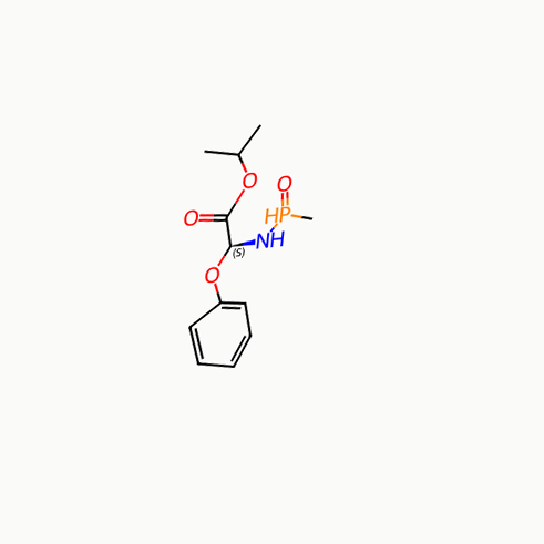 CC(C)OC(=O)[C@@H](N[PH](C)=O)Oc1ccccc1